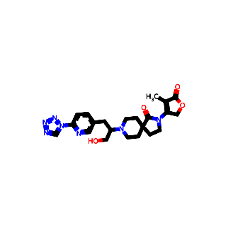 CC1=C(N2CCC3(CCN(C(CO)Cc4ccc(-n5cnnn5)nc4)CC3)C2=O)COC1=O